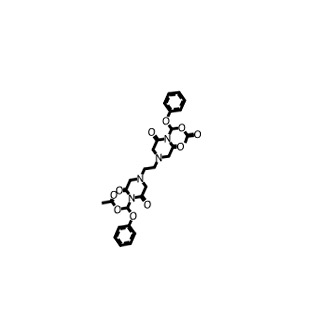 CC(=O)OC(Oc1ccccc1)N1C(=O)CN(CCN2CC(=O)N(C(OC(C)=O)Oc3ccccc3)C(=O)C2)CC1=O